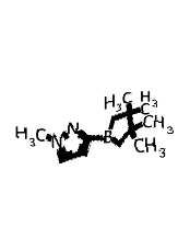 Cn1ccc(B2CC(C)(C)C(C)(C)C2)n1